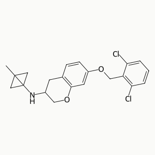 CC12CC1(NC1COc3cc(OCc4c(Cl)cccc4Cl)ccc3C1)C2